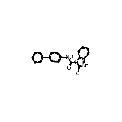 O=C(Nc1ccc(-c2ccccc2)cc1)n1c(=O)[nH]c2ccccc21